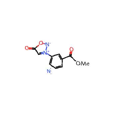 COC(=O)c1cccc(-[n+]2cc(=O)o[n-]2)c1.[N]